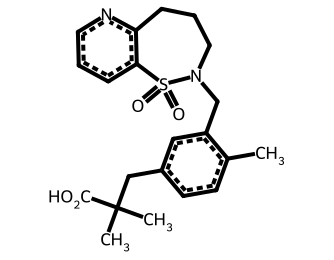 Cc1ccc(CC(C)(C)C(=O)O)cc1CN1CCCc2ncccc2S1(=O)=O